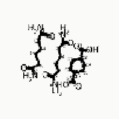 NC(=O)CCCCC(N)=O.NC(=O)CCCCC(N)=O.O=C(O)c1ccc(C(=O)O)cc1